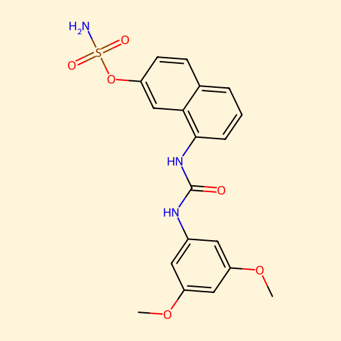 COc1cc(NC(=O)Nc2cccc3ccc(OS(N)(=O)=O)cc23)cc(OC)c1